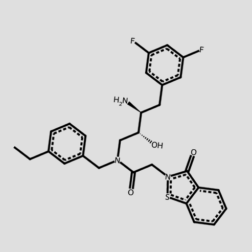 CCc1cccc(CN(C[C@@H](O)[C@@H](N)Cc2cc(F)cc(F)c2)C(=O)Cn2sc3ccccc3c2=O)c1